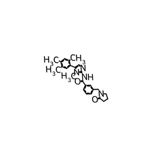 Cc1cc(C)c(-c2cnc(NC(=O)c3cccc(CN4CCCC4=O)c3)n2C)cc1C